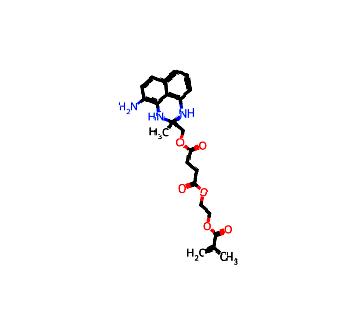 C=C(C)C(=O)OCCOC(=O)CCC(=O)OCC1(C)Nc2cccc3ccc(N)c(c23)N1